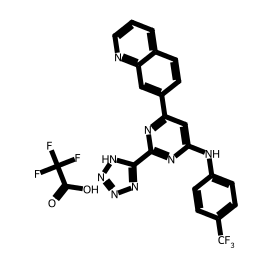 FC(F)(F)c1ccc(Nc2cc(-c3ccc4cccnc4c3)nc(-c3nnn[nH]3)n2)cc1.O=C(O)C(F)(F)F